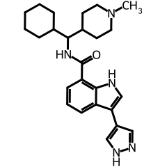 CN1CCC(C(NC(=O)c2cccc3c(-c4cn[nH]c4)c[nH]c23)C2CCCCC2)CC1